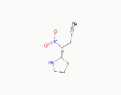 C#CCC(=C1NCCS1)[N+](=O)[O-]